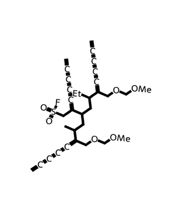 C=C=C=C=C=C(COCOC)C(C)CC(CC(CC)C(=C=C=C=C=C)COCOC)C(=C=C=C=C=C)CS(=O)(=O)F